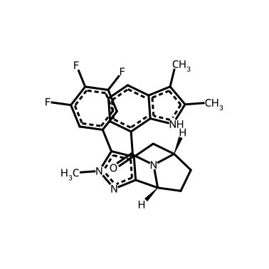 Cc1[nH]c2c(C(=O)N3[C@H]4CC[C@@H]3c3nn(C)c(-c5cc(F)c(F)c(F)c5)c3C4)cccc2c1C